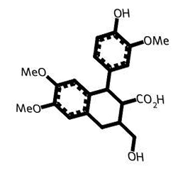 COc1cc(C2c3cc(OC)c(OC)cc3CC(CO)C2C(=O)O)ccc1O